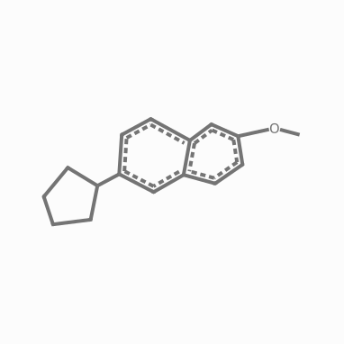 COc1ccc2cc(C3CCCC3)ccc2c1